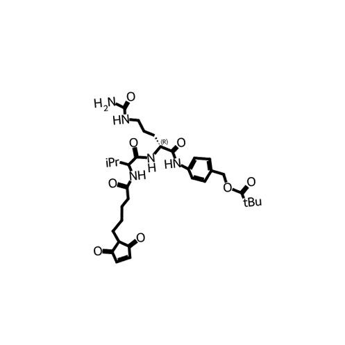 CC(C)C(NC(=O)CCCCC1C(=O)C=CC1=O)C(=O)N[C@H](CCCNC(N)=O)C(=O)Nc1ccc(COC(=O)C(C)(C)C)cc1